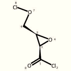 O=C(Cl)[C@@H]1O[C@@H]1COCl